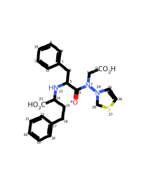 O=C(O)CN(C(=O)C(Cc1ccccc1)NC(CCc1ccccc1)C(=O)O)N1C=CSC1